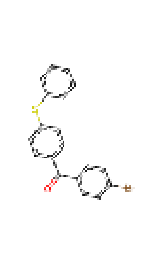 O=C(c1ccc(Br)cc1)c1ccc(Sc2ccccc2)cc1